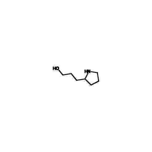 OCCCC1CCCN1